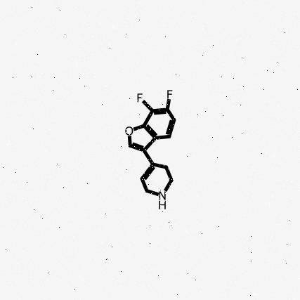 Fc1ccc2c(C3=CCNCC3)coc2c1F